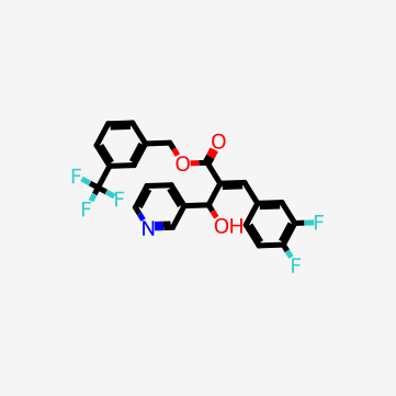 O=C(OCc1cccc(C(F)(F)F)c1)C(=Cc1ccc(F)c(F)c1)C(O)c1cccnc1